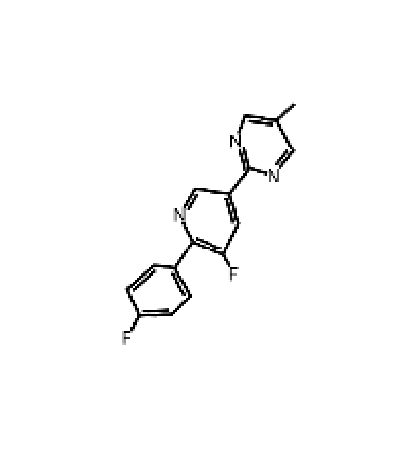 Cc1cnc(-c2cnc(-c3ccc(F)cc3)c(F)c2)nc1